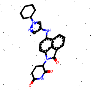 O=C1CCC(N2C(=O)c3cccc4c(Nc5cnn(C6CCCCC6)c5)ccc2c34)C(=O)N1